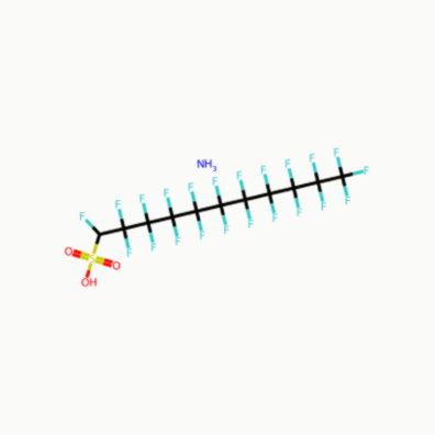 N.O=S(=O)(O)C(F)C(F)(F)C(F)(F)C(F)(F)C(F)(F)C(F)(F)C(F)(F)C(F)(F)C(F)(F)C(F)(F)C(F)(F)F